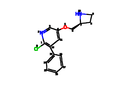 Clc1ncc(OC[C@@H]2CCN2)cc1-c1ccccc1